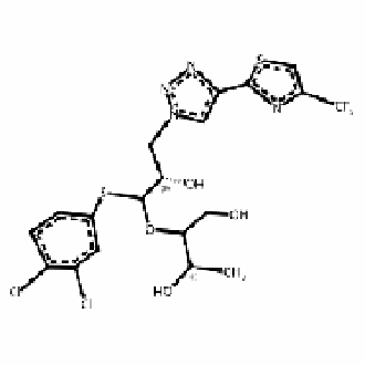 C[C@@H](O)C(CO)OC(Sc1ccc(Cl)c(Cl)c1)[C@@H](O)Cn1cc(-c2nc(C(F)(F)F)cs2)nn1